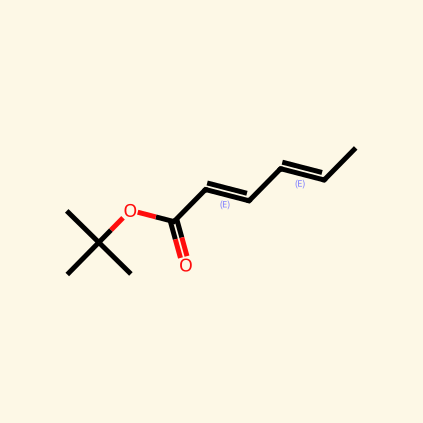 C/C=C/C=C/C(=O)OC(C)(C)C